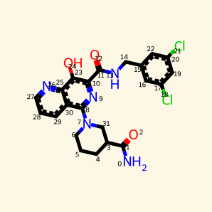 NC(=O)C1CCCN(c2nc(C(=O)NCc3cc(Cl)cc(Cl)c3)c(O)c3ncccc23)C1